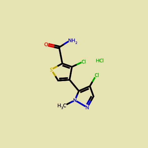 Cl.Cn1ncc(Cl)c1-c1csc(C(N)=O)c1Cl